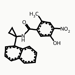 Cc1cc([N+](=O)[O-])c(O)cc1C(=O)NC1(c2cccc3ccccc23)CC1